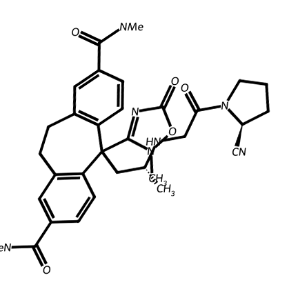 CNC(=O)c1ccc2c(c1)CCc1cc(C(=O)NC)ccc1C2(C[C@@H](C)NCC(=O)N1CCC[C@H]1C#N)c1nc(=O)on1C